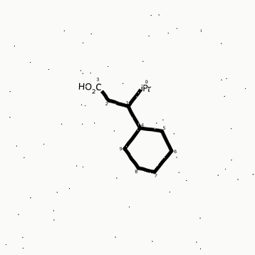 CC(C)C(CC(=O)O)C1CCCCC1